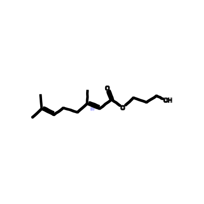 CC(C)=CCC/C(C)=C/C(=O)OCCCO